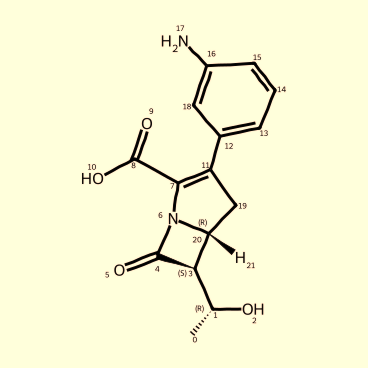 C[C@@H](O)[C@H]1C(=O)N2C(C(=O)O)=C(c3cccc(N)c3)C[C@H]12